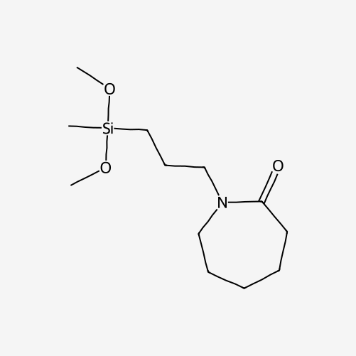 CO[Si](C)(CCCN1CCCCCC1=O)OC